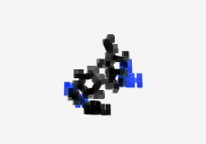 C#Cc1cnc2[nH]cc(-c3ccc4ncn(C(C)(C)C)c4c3)c2c1